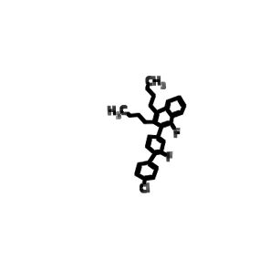 CCCCc1c(-c2ccc(-c3ccc(Cl)cc3)c(F)c2)c(F)c2ccccc2c1CCCC